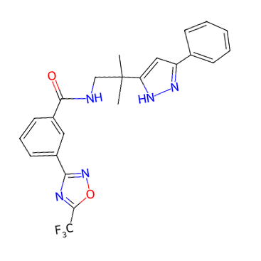 CC(C)(CNC(=O)c1cccc(-c2noc(C(F)(F)F)n2)c1)c1cc(-c2ccccc2)n[nH]1